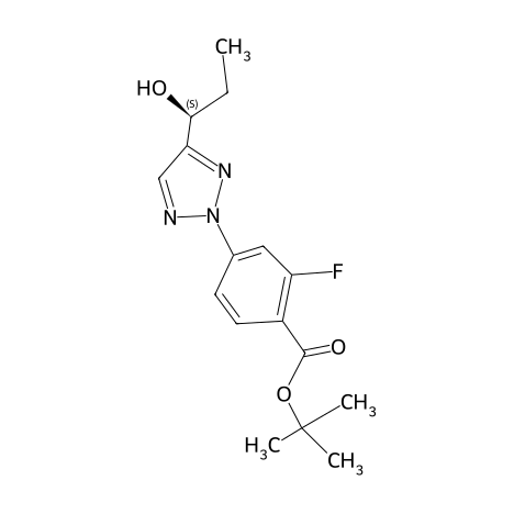 CC[C@H](O)c1cnn(-c2ccc(C(=O)OC(C)(C)C)c(F)c2)n1